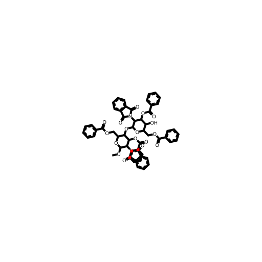 COC1OC(COC(=O)c2ccccc2)C(OC2OC(COC(=O)c3ccccc3)C(O)C(OC(=O)c3ccccc3)C2N2C(=O)c3ccccc3C2=O)C(OC(=O)c2ccccc2)C1N1C(=O)c2ccccc2C1=O